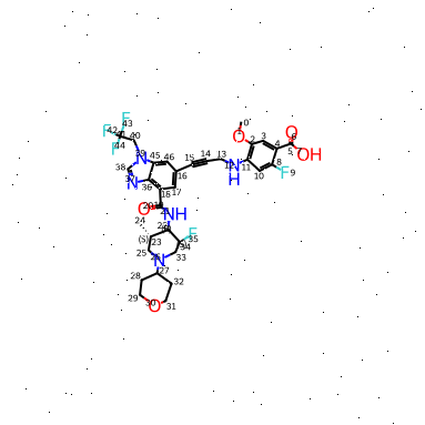 COc1cc(C(=O)O)c(F)cc1NCC#Cc1cc(C(=O)N[C@@H]2[C@@H](C)CN(C3CCOCC3)C[C@@H]2F)c2ncn(CC(F)(F)F)c2c1